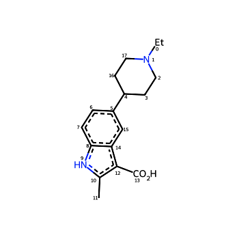 CCN1CCC(c2ccc3[nH]c(C)c(C(=O)O)c3c2)CC1